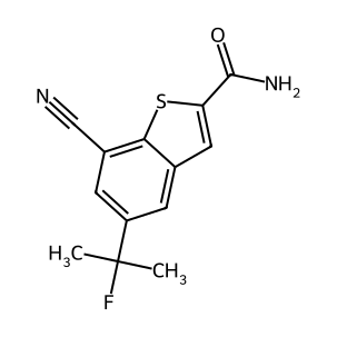 CC(C)(F)c1cc(C#N)c2sc(C(N)=O)cc2c1